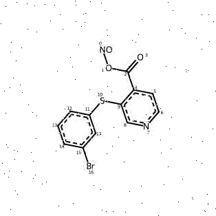 O=NOC(=O)c1ccncc1Sc1cccc(Br)c1